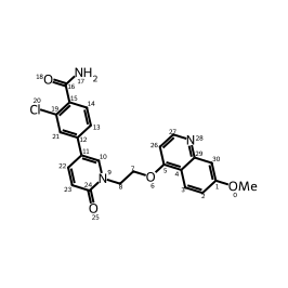 COc1ccc2c(OCCn3cc(-c4ccc(C(N)=O)c(Cl)c4)ccc3=O)ccnc2c1